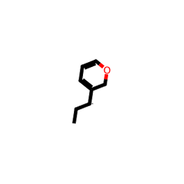 CC[CH]C1=CC=COC1